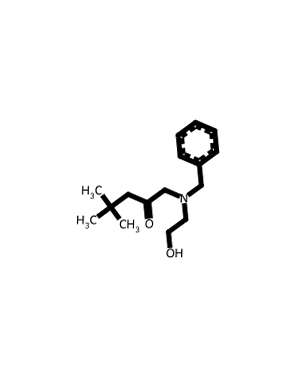 CC(C)(C)CC(=O)CN(CCO)Cc1ccccc1